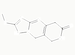 CSC1=NC2=NC3=C(CNC(=O)C3)CN2N1